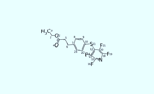 CCOC(=O)CCc1ccc(Sc2c(F)c(F)nc(F)c2F)cc1